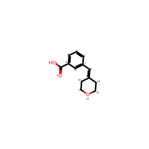 O=C(O)c1cccc(C=C2CCOCC2)c1